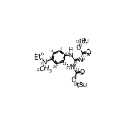 CCN(C)c1ccc(NC(=NC(=O)OC(C)(C)C)NC(=O)OC(C)(C)C)cc1